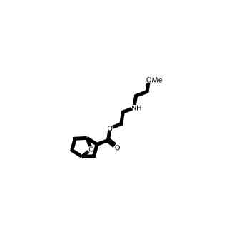 COCCNCCOC(=O)C1CC2CCC1O2